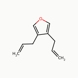 C=CCc1cocc1CC=C